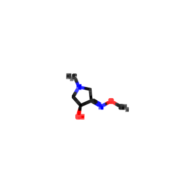 CO/N=C1\CN(C)C[C@@H]1O